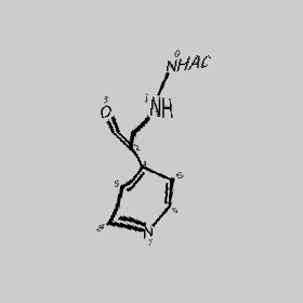 [CH2]C(=O)NNC(=O)c1ccncc1